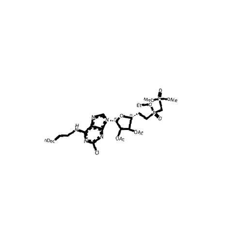 CCCCCCCCCCCCNc1nc(Cl)nc2c1ncn2[C@@H]1O[C@H](CCP(=O)(CP(=O)(OC)OC)OCC)C(OC(C)=O)C1OC(C)=O